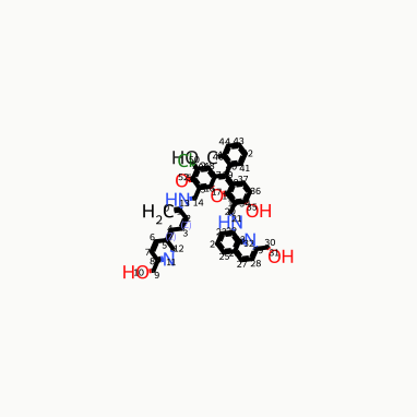 C=C(/C=C\C=C1\C=CC(CO)=NC1)NCc1c2oc3c(CNc4cccc5ccc(CO)nc45)c(O)ccc3c(-c3ccccc3C(=O)O)c-2cc(Cl)c1=O